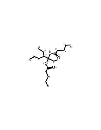 CCCCC(=O)OC(CC)(OC(=O)CCCC)C(CC)CCC